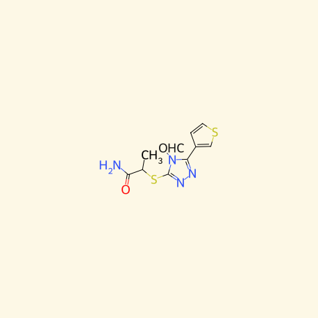 CC(Sc1nnc(-c2ccsc2)n1C=O)C(N)=O